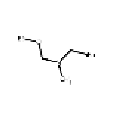 CCOCN(C)CC(C)CC